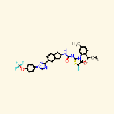 Cc1ccc(C(C)C)c(N2C(=O)C(F)S/C2=N\C(=O)NC2Cc3ccc(-c4ncn(-c5ccc(OC(F)(F)F)cc5)n4)cc3C2)c1